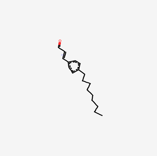 CCCCCCCCCc1ccc(/C=C/C=O)cc1